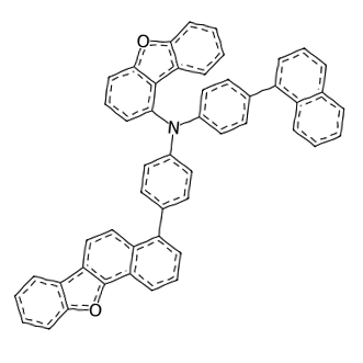 c1ccc2c(-c3ccc(N(c4ccc(-c5cccc6c5ccc5c7ccccc7oc65)cc4)c4cccc5oc6ccccc6c45)cc3)cccc2c1